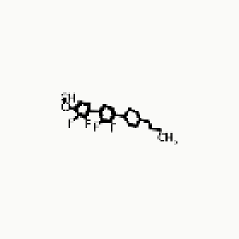 CCCCC1CCC(c2ccc(-c3ccc(OC)c(F)c3F)c(F)c2F)CC1